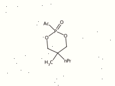 CCCC1(C)COP(=O)(C(C)=O)OC1